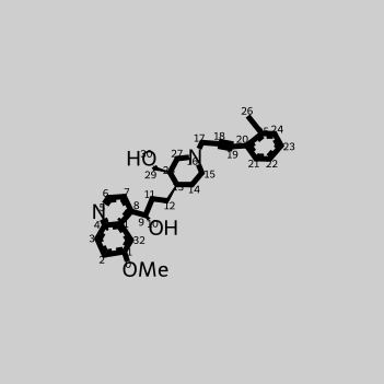 COc1ccc2nccc([C@H](O)CC[C@@H]3CCN(CC#Cc4ccccc4C)C[C@@H]3CO)c2c1